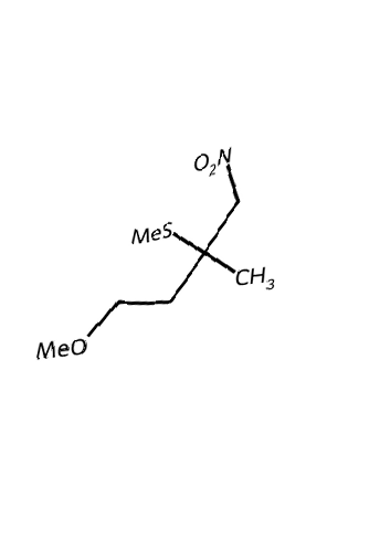 COCCC(C)(C[N+](=O)[O-])SC